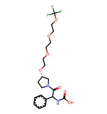 O=C(O)NC(C(=O)N1CC[C@H](OCCOCCOCCOC(F)(F)F)C1)c1ccccc1